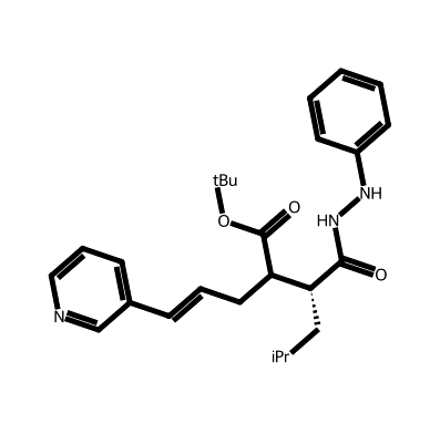 CC(C)C[C@@H](C(=O)NNc1ccccc1)C(CC=Cc1cccnc1)C(=O)OC(C)(C)C